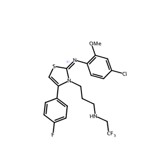 COc1cc(Cl)ccc1/N=c1/scc(-c2ccc(F)cc2)n1CCCNCC(F)(F)F